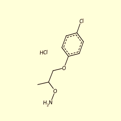 CC(COc1ccc(Cl)cc1)ON.Cl